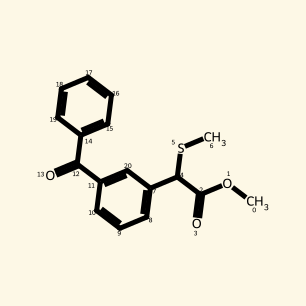 COC(=O)C(SC)c1cccc(C(=O)c2ccccc2)c1